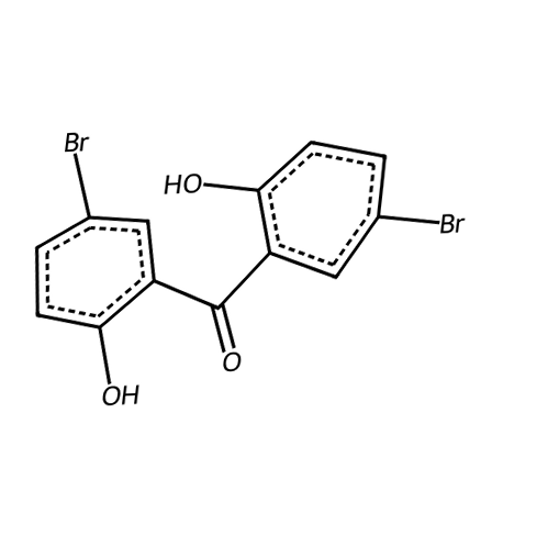 O=C(c1cc(Br)ccc1O)c1cc(Br)ccc1O